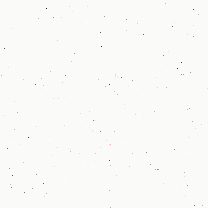 C1=CCCC(c2cc(-c3ccccc3)cc(-c3nc(-c4ccc(-c5ccccc5)cc4)nc(-c4cc(-c5ccccc5)c(-n5c6ccccc6c6c5ccc5c7ccccc7n(-c7ccccc7)c56)c(C5C=CC=CC5)c4)n3)c2)=C1